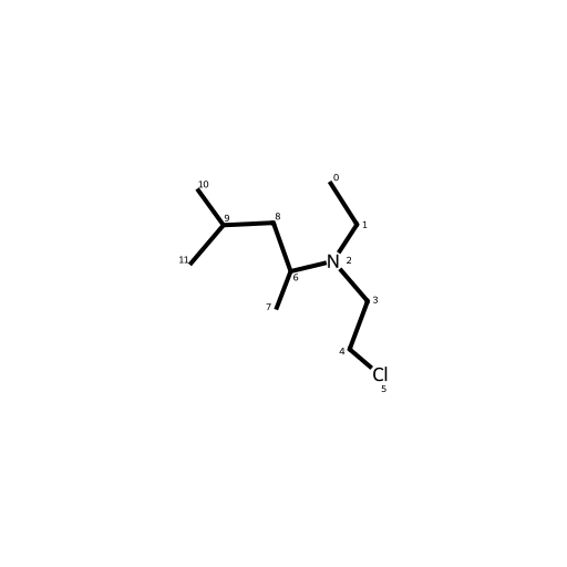 CCN(CCCl)C(C)CC(C)C